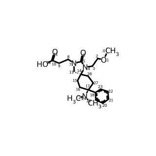 COCCN1C(=O)N(CCC(=O)O)C[C@]12CC[C@](c1ccccc1)(N(C)C)CC2